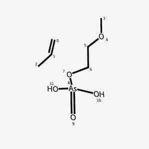 C=CC.COCCO[As](=O)(O)O